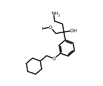 NCCC(O)(COI)c1cccc(OCC2CCCCC2)c1